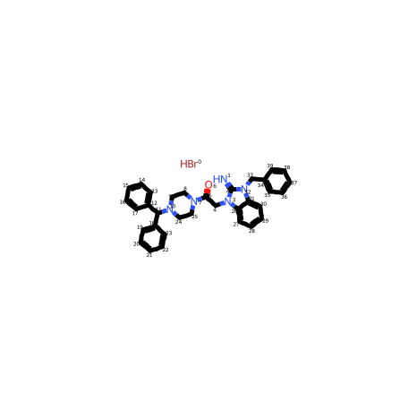 Br.N=c1n(CC(=O)N2CCN(C(c3ccccc3)c3ccccc3)CC2)c2ccccc2n1Cc1ccccc1